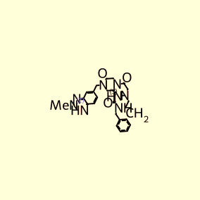 C=CCN1CC(=O)N2CC(=O)N(CC3=C/C(=N/NC)C(=N)C=C3)C[C@@H]2N1C(=O)NCc1ccccc1